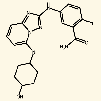 NC(=O)c1cc(Nc2nc3cccc(NC4CCC(O)CC4)n3n2)ccc1F